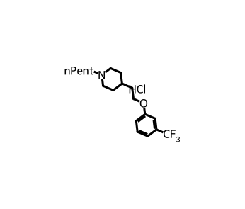 CCCCCN1CCC(CCOc2cccc(C(F)(F)F)c2)CC1.Cl